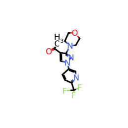 CC(=O)c1cn(-c2ccc(C(F)(F)F)nc2)nc1N1CCOCC1